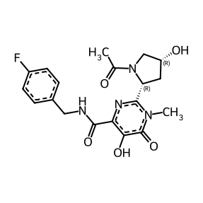 CC(=O)N1C[C@H](O)C[C@@H]1c1nc(C(=O)NCc2ccc(F)cc2)c(O)c(=O)n1C